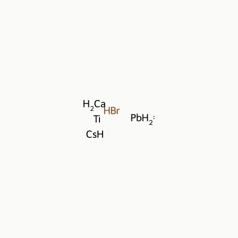 Br.[CaH2].[CsH].[PbH2].[Ti]